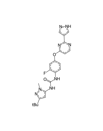 Cn1nc(C(C)(C)C)cc1NC(=O)Nc1ccc(Oc2ccnc(-c3cn[nH]c3)n2)cc1F